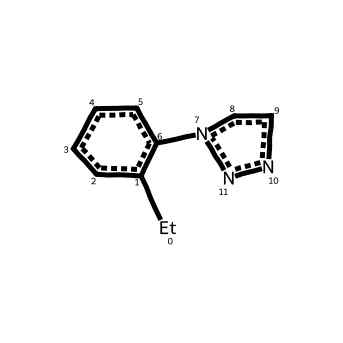 CCc1ccccc1-n1ccnn1